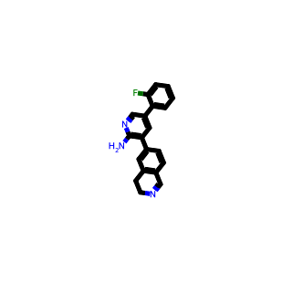 Nc1ncc(-c2ccccc2F)cc1-c1ccc2c(c1)CCN=C2